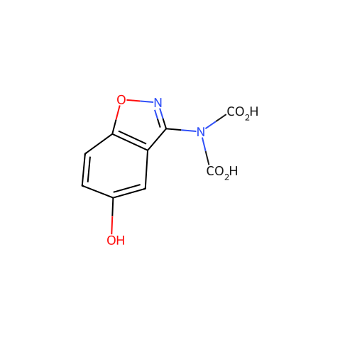 O=C(O)N(C(=O)O)c1noc2ccc(O)cc12